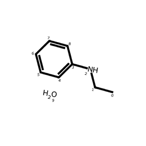 CCNc1ccccc1.O